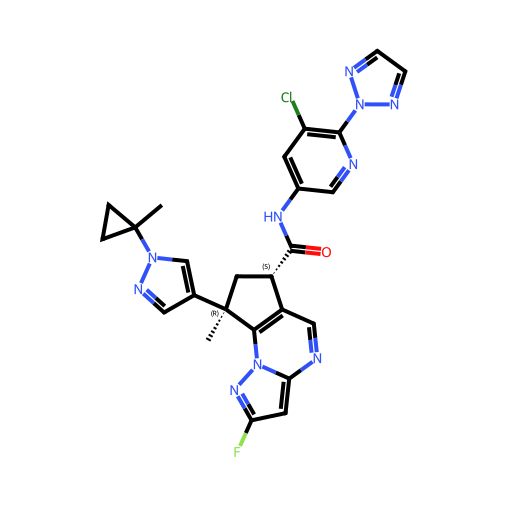 CC1(n2cc([C@@]3(C)C[C@H](C(=O)Nc4cnc(-n5nccn5)c(Cl)c4)c4cnc5cc(F)nn5c43)cn2)CC1